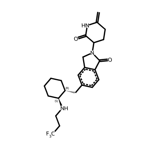 C=C1CCC(N2Cc3cc(C[C@H]4CCCC[C@@H]4NCCC(F)(F)F)ccc3C2=O)C(=O)N1